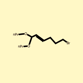 CCCOC(/C=C/CCCBr)OCCC